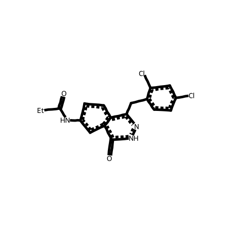 CCC(=O)Nc1ccc2c(Cc3ccc(Cl)cc3Cl)n[nH]c(=O)c2c1